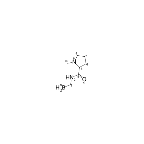 BCNC(=O)C1CCCN1C